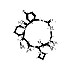 C=C1CCc2ccc(F)cc2C(=C)N2CCCCC2C(=N/C)/C=C(C)/N=C(N2CCC2)\C(C)=C(/C)N(C)CCN1